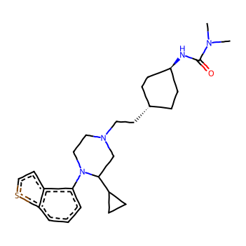 CN(C)C(=O)N[C@H]1CC[C@H](CCN2CCN(c3cccc4sccc34)C(C3CC3)C2)CC1